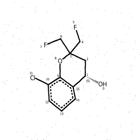 O[C@H]1CC(CF)(CF)Oc2c(Cl)cccc21